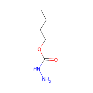 CCCCOC(=O)NN